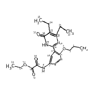 CCCOc1ccc(NC(=O)C(=O)OCC)cc1-c1nc(CC)c(CC)c(=O)[nH]1